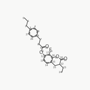 CCCc1ccc(CCC(=O)Oc2ccc3c(c2F)OC(=O)C(CC)C3)cc1